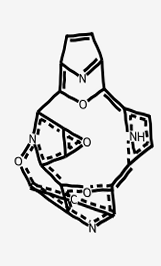 C1=CC2=C3OC(=c4ccc([nH]4)=c4oc5c6nc4cc6on4c3c3oc3c54)C1=N2